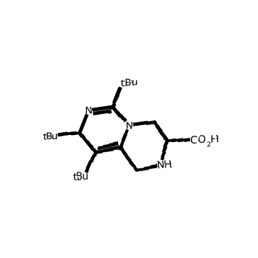 CC(C)(C)C1=NC(C(C)(C)C)C(C(C)(C)C)=C2CNC(C(=O)O)CN12